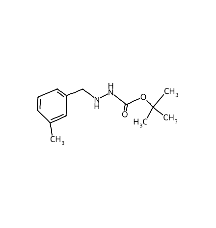 Cc1cccc(CNNC(=O)OC(C)(C)C)c1